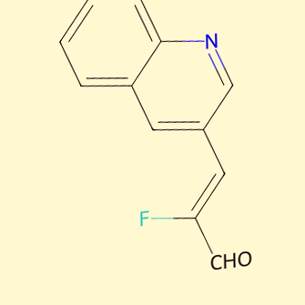 O=CC(F)=Cc1cnc2ccccc2c1